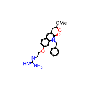 COC(=O)Cc1cc2ccc(OCCNC(=N)N)cc2n(Cc2ccccc2)c1=O